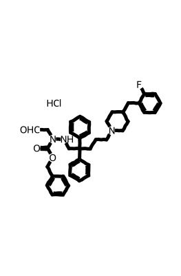 Cl.O=CCN(NCC(CCCN1CCC(Cc2ccccc2F)CC1)(c1ccccc1)c1ccccc1)C(=O)OCc1ccccc1